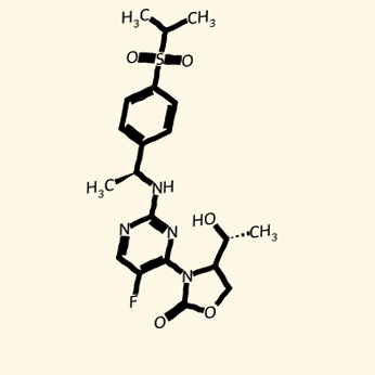 CC(C)S(=O)(=O)c1ccc([C@H](C)Nc2ncc(F)c(N3C(=O)OCC3[C@@H](C)O)n2)cc1